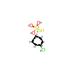 O=S(=O)(S)Oc1ccc(Cl)cc1